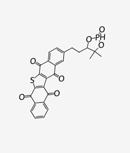 CC1(C)O[PH](=O)OC1CCc1ccc2c(=O)c3sc4c(=O)c5ccccc5c(=O)c4c3c(=O)c2c1